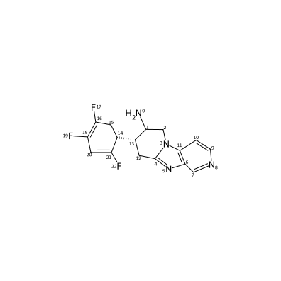 NC1Cn2c(nc3cnccc32)C[C@@H]1C1CC(F)=C(F)C=C1F